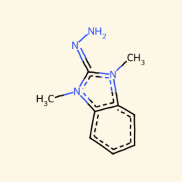 Cn1c(=NN)n(C)c2ccccc21